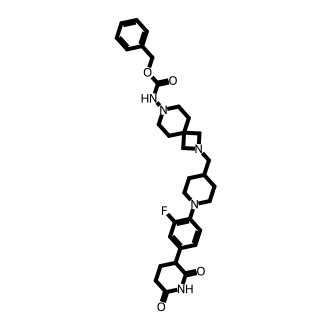 O=C1CCC(c2ccc(N3CCC(CN4CC5(CCN(NC(=O)OCc6ccccc6)CC5)C4)CC3)c(F)c2)C(=O)N1